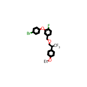 CCOc1ccc(C(COCc2ccc(F)c(Oc3ccc(Br)cc3)c2)C(F)(F)F)cc1